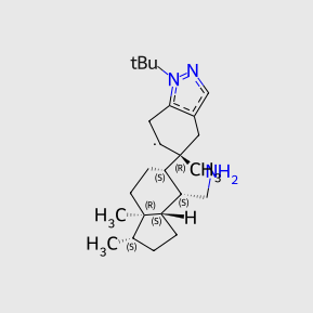 C[C@H]1CC[C@H]2[C@@H](CN)[C@@H]([C@]3(C)[CH]Cc4c(cnn4C(C)(C)C)C3)CC[C@]12C